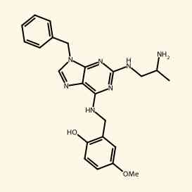 COc1ccc(O)c(CNc2nc(NCC(C)N)nc3c2ncn3Cc2ccccc2)c1